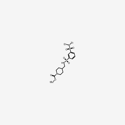 CCN(CC)S(=O)(=O)c1cccc(S(=O)(=O)NCC2CCN(C(=O)OC(C)(C)C)CC2)c1